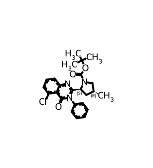 C[C@@H]1C[C@@H](c2nc3cccc(Cl)c3c(=O)n2-c2ccccc2)N(C(=O)OC(C)(C)C)C1